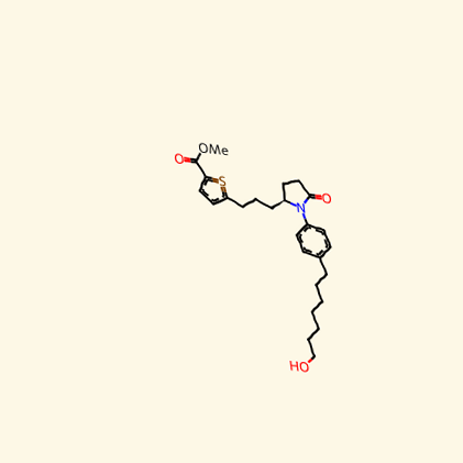 COC(=O)c1ccc(CCC[C@H]2CCC(=O)N2c2ccc(CCCCCCCO)cc2)s1